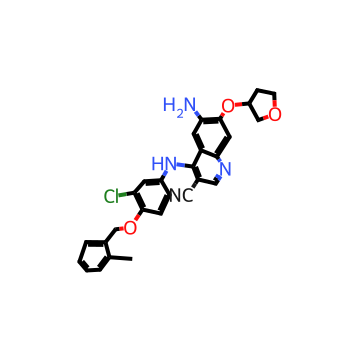 Cc1ccccc1COc1ccc(Nc2c(C#N)cnc3cc(OC4CCOC4)c(N)cc23)cc1Cl